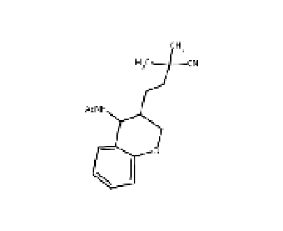 CC(=O)NC1c2ccccc2OCC1CCC(C)(C)C#N